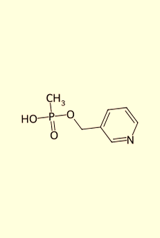 CP(=O)(O)OCc1cccnc1